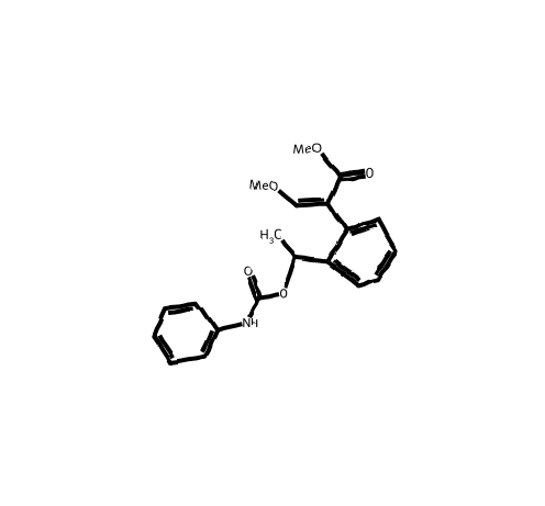 COC=C(C(=O)OC)c1ccccc1C(C)OC(=O)Nc1ccccc1